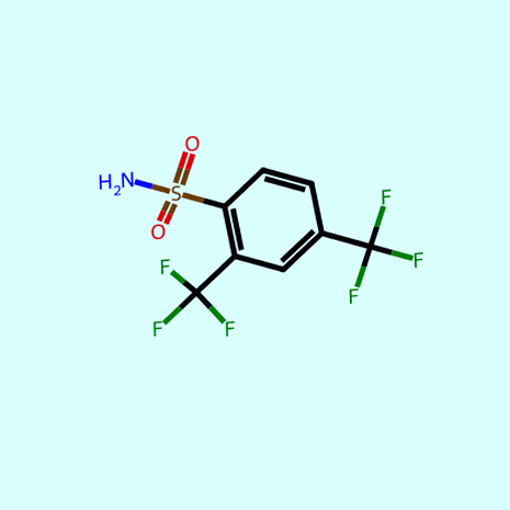 NS(=O)(=O)c1ccc(C(F)(F)F)cc1C(F)(F)F